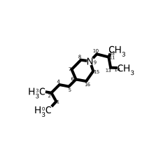 CCC(C)CCC1CCN(CC(C)CC)CC1